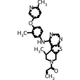 C=CC(=O)N1Cc2sc3ncnc(Nc4ccc(Oc5ccc(C)nc5)c(C)c4)c3c2C(C)C1